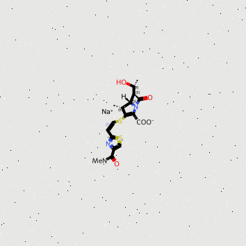 CNC(=O)c1csc(/C=C\SC2=C(C(=O)[O-])N3C(=O)[C@H]([C@@H](C)O)[C@H]3[C@H]2C)n1.[Na+]